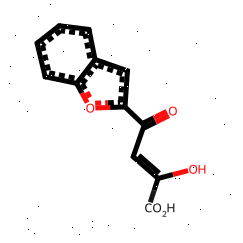 O=C(O)/C(O)=C/C(=O)c1cc2ccccc2o1